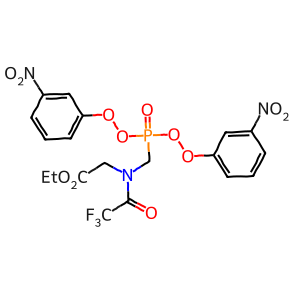 CCOC(=O)CN(CP(=O)(OOc1cccc([N+](=O)[O-])c1)OOc1cccc([N+](=O)[O-])c1)C(=O)C(F)(F)F